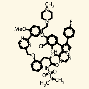 COc1ccccc1-c1nccc(COc2ccccc2CC(Oc2ncnn3cc(-c4ccc(F)cc4)c(-c4ccc(OCCN5CCN(C)CC5)c(Cl)c4C)c23)C(=O)NS(=O)(=O)N(C)C)n1